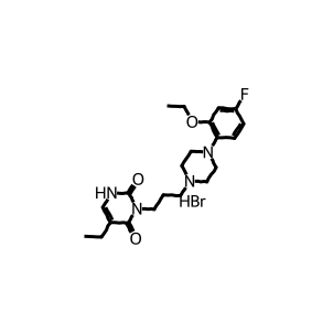 Br.CCOc1cc(F)ccc1N1CCN(CCCn2c(=O)[nH]cc(CC)c2=O)CC1